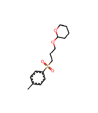 Cc1ccc(S(=O)(=O)CCCOC2CCCCO2)cc1